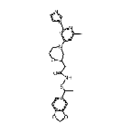 Cc1cc(N2CCOC(CC(=O)NSC(C)c3ccc4c(c3)OCO4)C2)nc(-n2ccnc2)n1